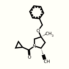 C#C[C@H]1C[C@](C)(OCc2ccccc2)CN1C(=O)C1CC1